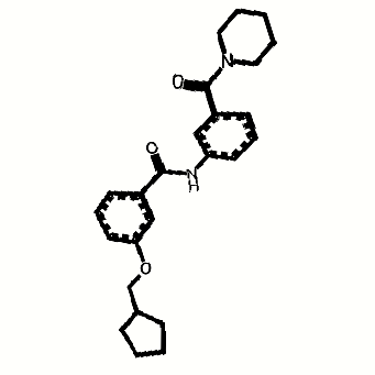 O=C(Nc1cccc(C(=O)N2CCCCC2)c1)c1cccc(OCC2CCCC2)c1